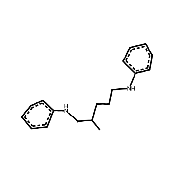 CC([CH]Nc1ccccc1)CCCNc1ccccc1